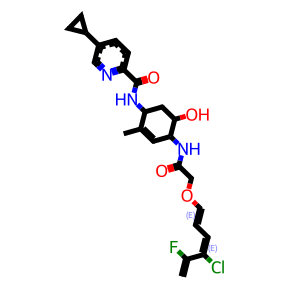 C=C(F)/C(Cl)=C\C=C\OCC(=O)NC1C=C(C)C(NC(=O)c2ccc(C3CC3)cn2)CC1O